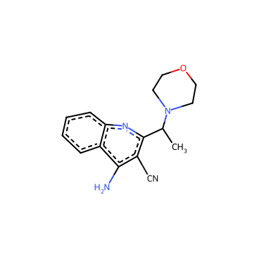 CC(c1nc2ccccc2c(N)c1C#N)N1CCOCC1